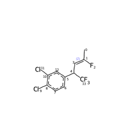 C/C(F)=C/C(c1ccc(Cl)c(Cl)c1)C(F)(F)F